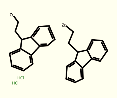 Cl.Cl.[Zr][CH2]CC1c2ccccc2-c2ccccc21.[Zr][CH2]CC1c2ccccc2-c2ccccc21